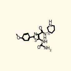 COc1ccc(-c2nc(C(=O)N[C@H]3CCCNC3)c(NC(N)=O)s2)cc1